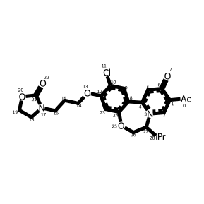 CC(=O)c1cn2c(cc1=O)-c1cc(Cl)c(OCCCN3CCOC3=O)cc1OCC2C(C)C